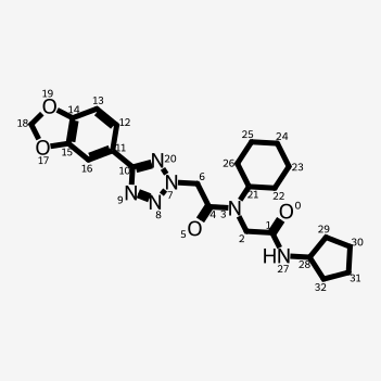 O=C(CN(C(=O)Cn1nnc(-c2ccc3c(c2)OCO3)n1)C1CCCCC1)NC1CCCC1